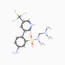 CN(C)CN(C)S(=O)(=O)c1cc(N)ccc1-c1cncc(C(F)(F)F)c1